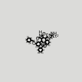 CCC(N)(CC)Cn1cc(C2=C(c3c[nH]c4ccc(OCc5ccccc5)cc34)C(=O)NC2=O)c2cc(OCc3ccccc3)ccc21